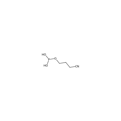 N#CCCCOP(O)O